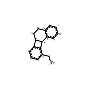 CC(C)Cc1cccc2c1C1c3ccccc3CCC21